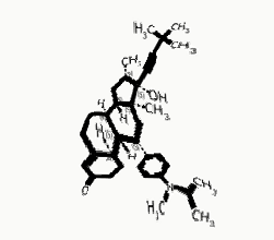 CC(C)N(C)c1ccc([C@H]2C[C@@]3(C)[C@@H](C[C@H](C)[C@@]3(O)C#CC(C)(C)C)[C@@H]3CCC4=CC(=O)CC[C@@H]4[C@H]32)cc1